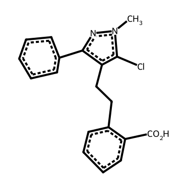 Cn1nc(-c2ccccc2)c(CCc2ccccc2C(=O)O)c1Cl